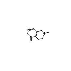 CN1CCC2=C(C=NCN2)C1